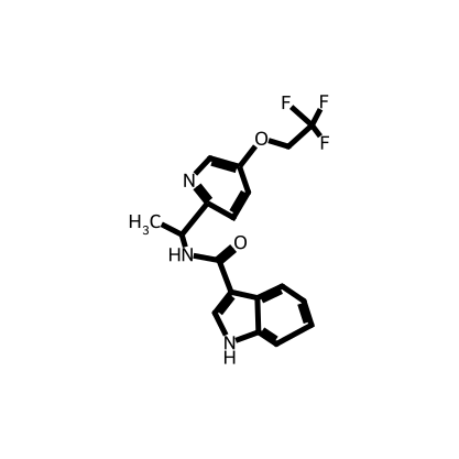 CC(NC(=O)c1c[nH]c2ccccc12)c1ccc(OCC(F)(F)F)cn1